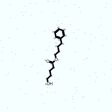 O=C(CCCCO)OCCCCc1ccccc1